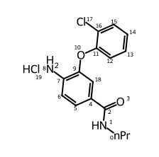 CCCNC(=O)c1ccc(N)c(Oc2ccccc2Cl)c1.Cl